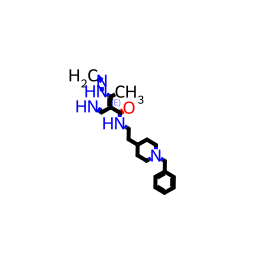 C=NN/C(C)=C(\C=N)C(=O)NCCC1CCN(Cc2ccccc2)CC1